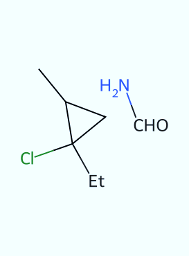 CCC1(Cl)CC1C.NC=O